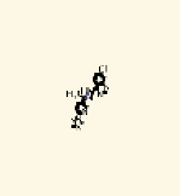 C/C(=N\Nc1ncnc2cc(Cl)ccc12)c1ccc(-n2cncn2)nc1